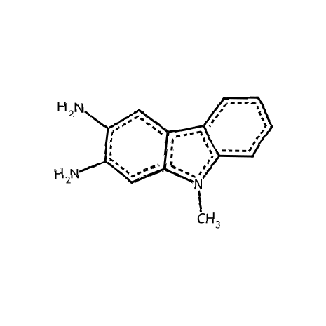 Cn1c2ccccc2c2cc(N)c(N)cc21